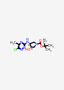 Cc1nc(N[C@@H]2CN(C(=O)OC(C)(C)C)C[C@H]2O)nnc1Cl